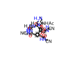 CC(=O)N[C@@H](CCN)C(=O)N(C)[C@@H]1C(=O)N[C@@H](C)C(=O)N[C@H](C(=O)NCC#N)Cc2ccc(OCC(=O)NCC#N)c(c2)-c2cc1ccc2OCC(=O)NCC#N